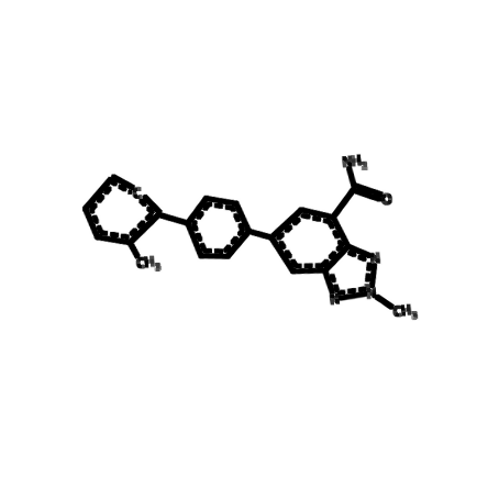 Cc1ccccc1-c1ccc(-c2cc(C(N)=O)c3nn(C)nc3c2)cc1